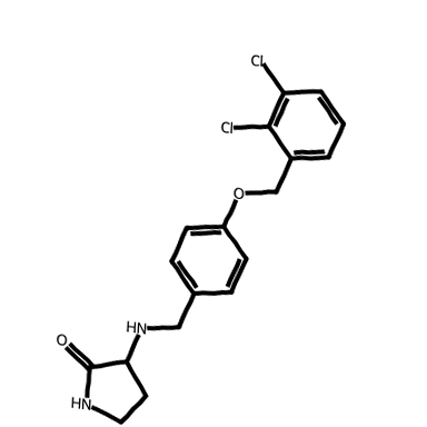 O=C1NCCC1NCc1ccc(OCc2cccc(Cl)c2Cl)cc1